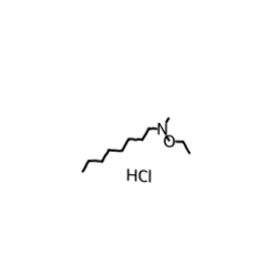 CCCCCCCCN(C)OCC.Cl